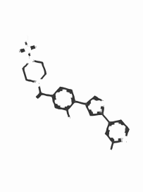 CC(C)(C)c1cc(-c2cc(-c3ccc(C(=O)N4CCN(S(C)(=O)=O)CC4)cc3Cl)cs2)ccn1